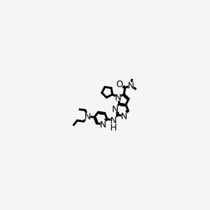 CCCN(CC)c1ccc(Nc2ncc3cc(C(=O)N(C)C)n(C4CCCC4)c3n2)nc1